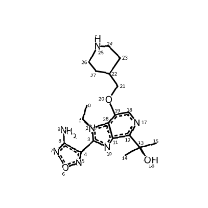 CCn1c(-c2nonc2N)nc2c(C(C)(C)O)ncc(OCC3CCNCC3)c21